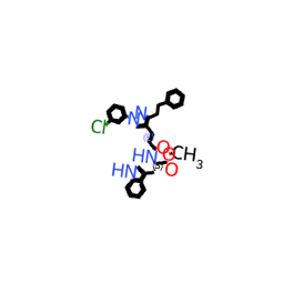 COC(=O)[C@H](Cc1c[nH]c2ccccc12)NC(=O)/C=C/c1cn(-c2cccc(Cl)c2)nc1CCc1ccccc1